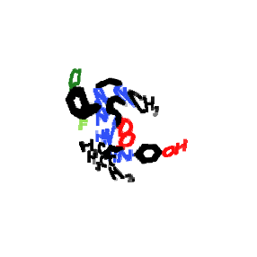 CN1CCCn2c(-c3cc(Cl)ccc3F)nc(C(=O)N[C@H](C(=O)N[C@H]3CC[C@H](O)CC3)C(C)(C)C)c2C1